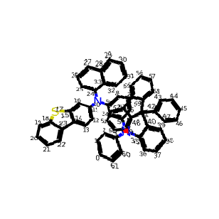 c1ccc(N(c2cccc(N(c3ccc4c(c3)sc3ccccc34)c3cccc4ccccc34)c2)c2ccccc2C2(c3ccccc3)c3ccccc3-c3ccccc32)cc1